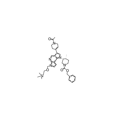 CC(=O)N1CC=C(c2cn([C@H]3CN(C(=O)OCc4ccccc4)CC[C@H]3C)c3c2cnc2c3ccn2COCC[Si](C)(C)C)CC1